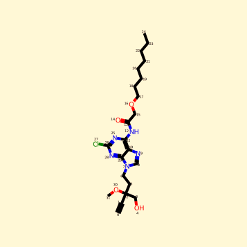 C#CC(CO)(CCn1cnc2c(NC(=O)COCCCCCCCC)nc(Cl)nc21)OC